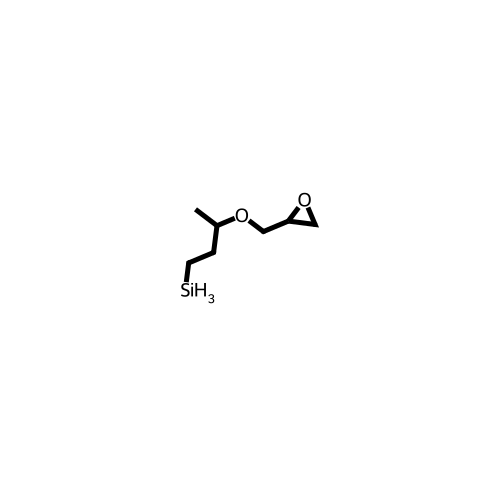 CC(CC[SiH3])OCC1CO1